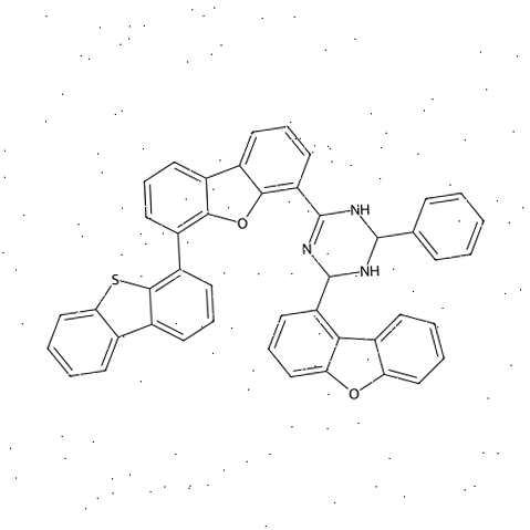 c1ccc(C2NC(c3cccc4c3oc3c(-c5cccc6c5sc5ccccc56)cccc34)=NC(c3cccc4oc5ccccc5c34)N2)cc1